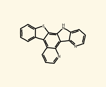 c1cnc2c(c1)[nH]c1c3sc4ccccc4c3c3cccnc3c21